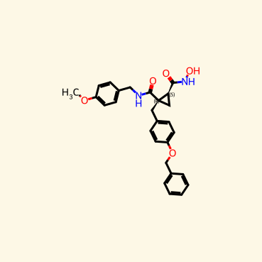 COc1ccc(CNC(=O)[C@@]2(Cc3ccc(OCc4ccccc4)cc3)C[C@@H]2C(=O)NO)cc1